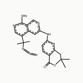 CSc1ncc(C(C)(C)N=[N+]=[N-])c2cc(Nc3ccc4c(n3)CC(C)(C)OC4=O)ncc12